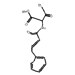 CCC(=O)C(NC(=O)C=Cc1ccccc1)C(=O)OC